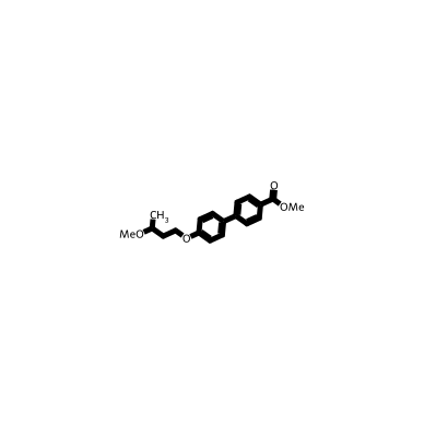 COC(=O)c1ccc(-c2ccc(OCCC(C)OC)cc2)cc1